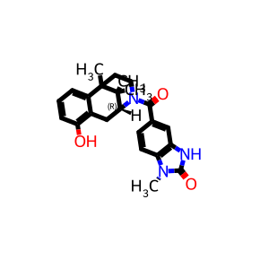 Cn1c(=O)[nH]c2cc(C(=O)N3CCC4(C)c5cccc(O)c5C[C@@H]3C4(C)C)ccc21